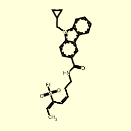 C/C=C(\C=C/CCNC(=O)c1ccc2c(c1)c1ccccc1n2CC1CC1)S(=O)(=O)CC